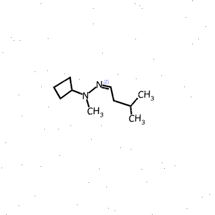 CC(C)C/C=N\N(C)C1CCC1